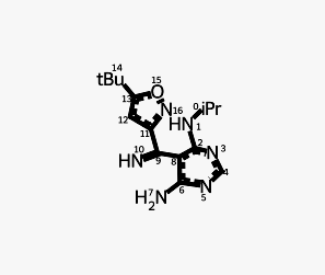 CC(C)Nc1ncnc(N)c1C(=N)c1cc(C(C)(C)C)on1